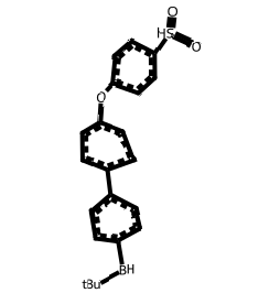 CC(C)(C)Bc1ccc(-c2ccc(Oc3ccc([SH](=O)=O)cc3)cc2)cc1